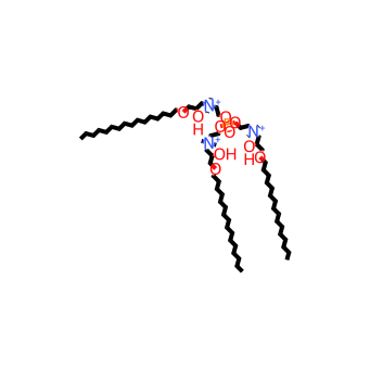 CCCCCCCCCCCCCCCCOCC(O)C[N+](C)(C)CCOP(=O)(OCC[N+](C)(C)CC(O)COCCCCCCCCCCCCCCCC)OCC[N+](C)(C)CC(O)COCCCCCCCCCCCCCCCC